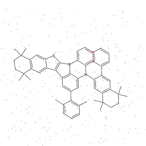 Cc1cccc(C)c1-c1cc2c3c(c1)N(c1cc4c(cc1-c1ccccc1)C(C)(C)CCC4(C)C)c1ccccc1B3c1sc3cc4c(cc3c1-2)C(C)(C)CCC4(C)C